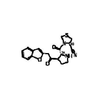 N#C[C@@H]1CSCN1C(=O)[C@@H]1NCCC1C(=O)Cc1cc2ccccc2o1